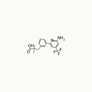 CC(C)(Cc1cccc(-c2cc(C(F)(F)F)cc(N)n2)c1)C(=O)O